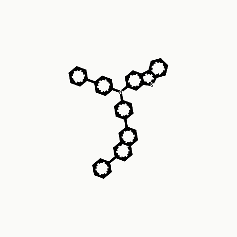 c1ccc(-c2ccc(N(c3ccc(-c4ccc5ccc(-c6ccccc6)cc5c4)cc3)c3ccc4c(c3)sc3ccccc34)cc2)cc1